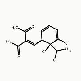 CC(=O)/C(=C\C1C=CC=C(Cl)C1(Cl)C(C)Cl)C(=O)O